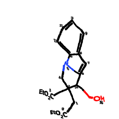 CCOC(=O)CC1(C(=O)OCC)Cn2c(cc3ccccc32)C1O